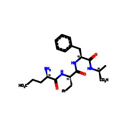 CC(C)C[C@H](NC(=O)[C@@H](N)CCC(=O)O)C(=O)N[C@@H](Cc1ccccc1)C(=O)N[C@@H](C)C(=O)O